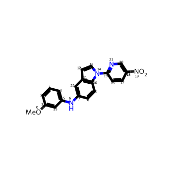 COc1cccc(Nc2ccc3c(ccn3-c3ccc([N+](=O)[O-])cn3)c2)c1